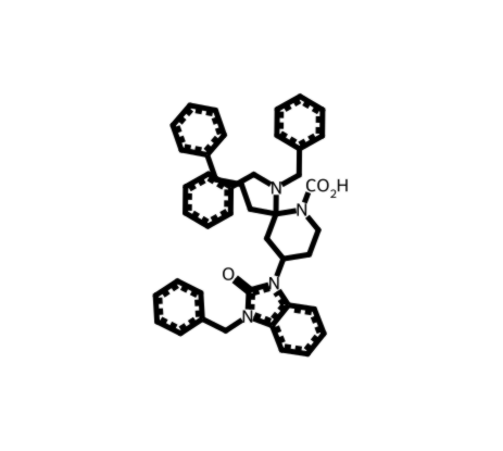 O=C(O)N1CCC(n2c(=O)n(Cc3ccccc3)c3ccccc32)CC1(CCCc1ccccc1)N(Cc1ccccc1)Cc1ccccc1